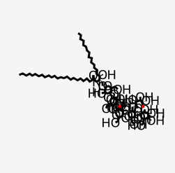 CCCCCCCCCCCCC/C=C/[C@@H](O)[C@H](CO[C@@H]1OC(CO)[C@@H](O[C@@H]2OC(CO)[C@H](O[C@@H]3OC(CO)[C@H](O)[C@H](O[C@@H]4OC(CO)[C@H](O)[C@H](O[C@H]5OC(CO)[C@H](O)[C@H](O)C5O)C4O[C@H]4OC(C)[C@@H](O)C(O)[C@@H]4O)C3NC(C)=O)[C@H](O)C2O)[C@H](O)C1O)NC(=O)CCCCCCCCCCCCCCCCCCCCCCC